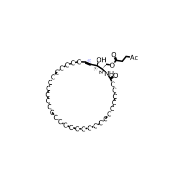 CC(=O)CCC(=O)OC[C@@H]1NC(=O)CCCCCCCCCCCCCCCCCCCCCCCCCCCC/C=C/[C@H]1O